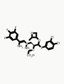 CC1OCC1OC(Sc1ccc(Cl)c(Cl)c1)[C@H](CN(N)/C=C(\N)c1cc(F)c(F)c(F)c1)OCC(=O)O